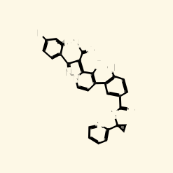 CNC(=O)c1c(-c2ccc(F)cc2)nn2ccc(-c3cc(C(=O)NC4(c5ccccn5)CC4)ccc3C)c(F)c12